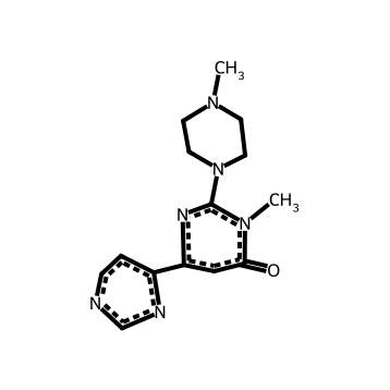 CN1CCN(c2nc(-c3ccncn3)cc(=O)n2C)CC1